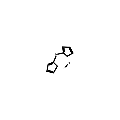 C1=CC[C]([Zr][C]2=CC=CC2)=C1.CCCl